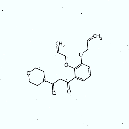 C=CCOc1cccc(C(=O)CC(=O)N2CCOCC2)c1OCC=C